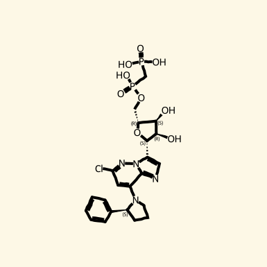 O=P(O)(O)CP(=O)(O)OC[C@H]1O[C@@H](c2cnc3c(N4CCC[C@H]4c4ccccc4)cc(Cl)nn23)[C@H](O)[C@@H]1O